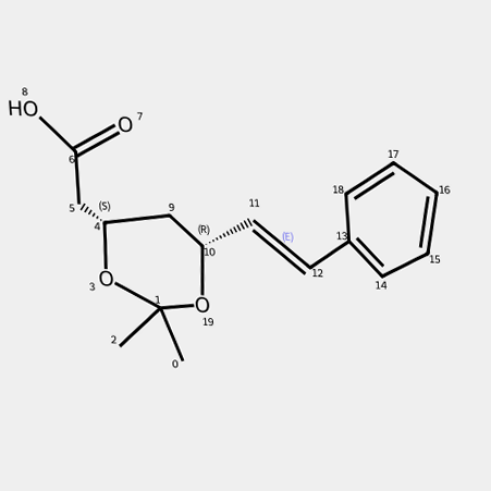 CC1(C)O[C@H](CC(=O)O)C[C@H](/C=C/c2ccccc2)O1